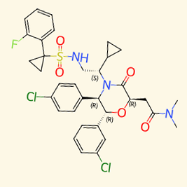 CN(C)C(=O)C[C@H]1O[C@H](c2cccc(Cl)c2)[C@@H](c2ccc(Cl)cc2)N([C@H](CNS(=O)(=O)C2(c3ccccc3F)CC2)C2CC2)C1=O